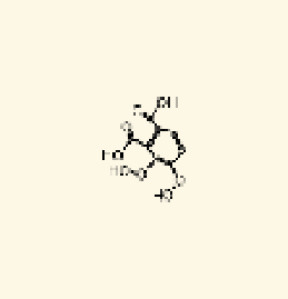 O=C(O)c1ccc(OO)c(OO)c1C(=O)O